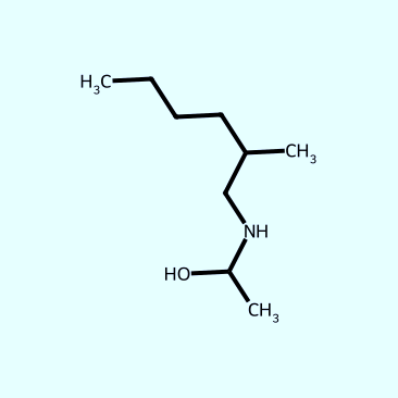 CCCCC(C)CNC(C)O